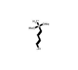 CCC=CC=C[Si](C)(OC)OC